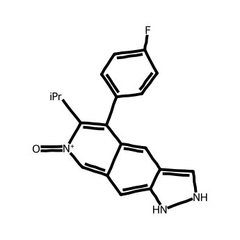 CC(C)c1c(-c2ccc(F)cc2)c2cc3c[nH][nH]c3cc2c[n+]1=O